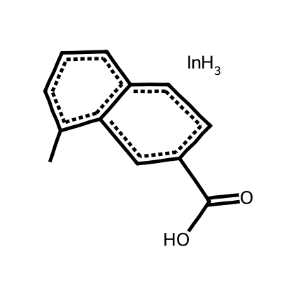 Cc1cccc2ccc(C(=O)O)cc12.[InH3]